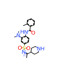 C/C(=N/S(=O)(=O)c1ccc(NC(=O)c2ccccc2C)c(N(C)C)c1)C1CCNCC1